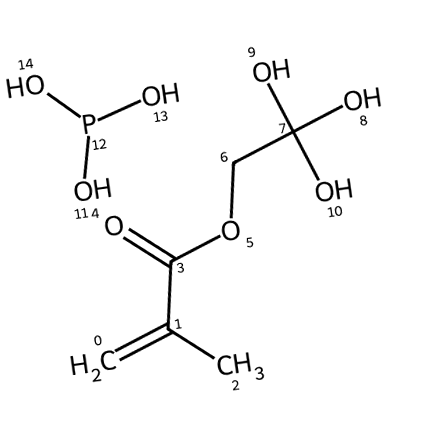 C=C(C)C(=O)OCC(O)(O)O.OP(O)O